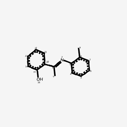 C/C(=N\c1ccccc1C)c1ccccc1O